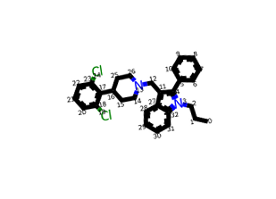 CCCn1c(-c2ccccc2)c(CN2CCC(c3c(Cl)cccc3Cl)CC2)c2ccccc21